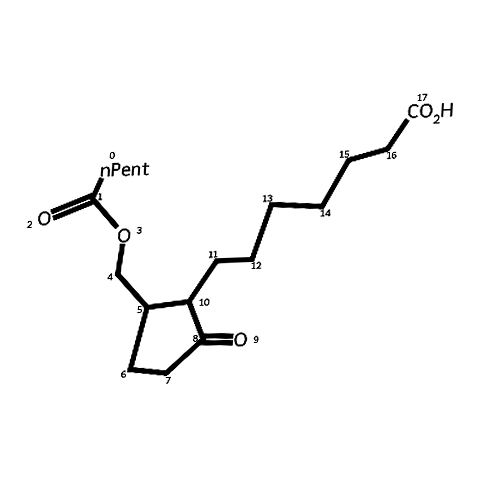 CCCCCC(=O)OCC1CCC(=O)C1CCCCCCC(=O)O